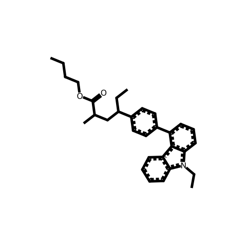 CCCCOC(=O)C(C)CC(CC)c1ccc(-c2cccc3c2c2ccccc2n3CC)cc1